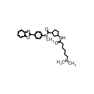 CN(C)CCCCCC(=O)NC1CCC(C(=O)N(C)c2ccc(-c3nc4ccccc4o3)cc2)C1